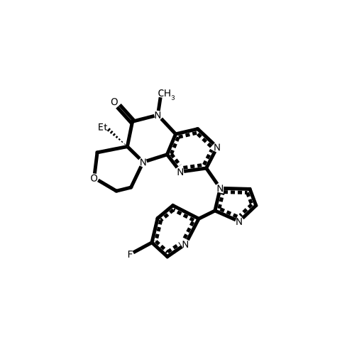 CC[C@@]12COCCN1c1nc(-n3ccnc3-c3ccc(F)cn3)ncc1N(C)C2=O